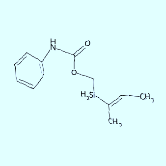 CC=C(C)[SiH2]COC(=O)Nc1ccccc1